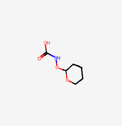 O=C(O)NOC1CCCCO1